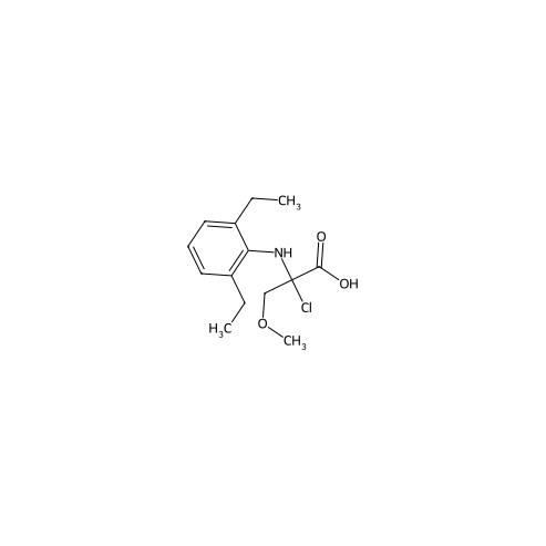 CCc1cccc(CC)c1NC(Cl)(COC)C(=O)O